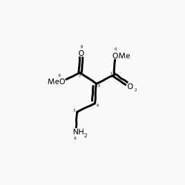 COC(=O)C(=CCN)C(=O)OC